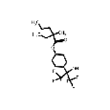 CCCC(C)(CC)C(=O)OC1CCC(C(O)(C(F)(F)F)C(F)(F)F)CC1